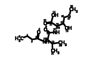 CCCC(=O)N[C@H](C(=O)N[C@H](C(=O)O)C(O)CSC)C(C)C